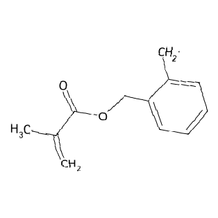 [CH2]c1ccccc1COC(=O)C(=C)C